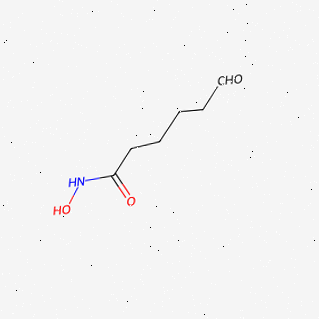 O=CCCCCC(=O)NO